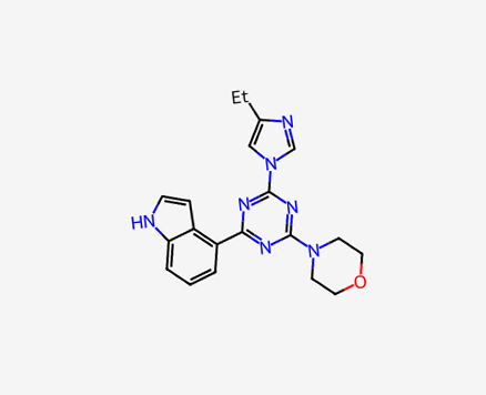 CCc1cn(-c2nc(-c3cccc4[nH]ccc34)nc(N3CCOCC3)n2)cn1